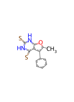 Cc1oc2[nH]c(=S)[nH]c(=S)c2c1-c1ccccc1